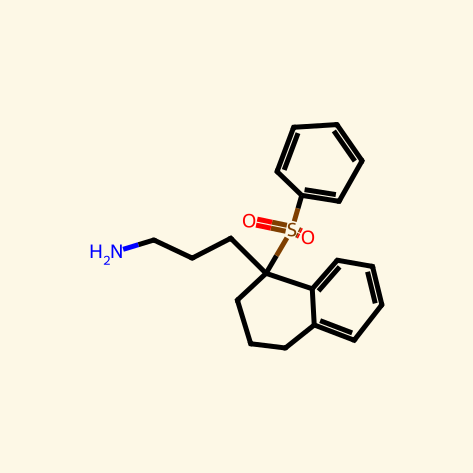 NCCCC1(S(=O)(=O)c2ccccc2)CCCc2ccccc21